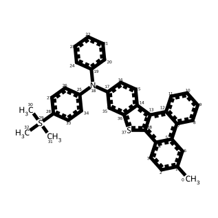 Cc1ccc2c(c1)c1ccccc1c1c3ccc(N(c4ccccc4)c4ccc(S(C)(C)C)cc4)cc3sc21